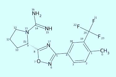 Cc1ccc(-c2noc([C@@H]3CCCN3C(=N)N)n2)cc1C(F)(F)F